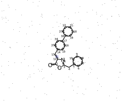 O=C1OC(Cc2ccccc2)=N/C1=C\c1ccc(-c2ccccc2)cc1